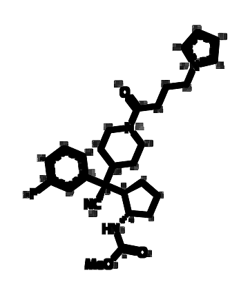 COC(=O)N[C@H]1CCC[C@@H]1[C@](C#N)(c1cccc(F)c1)C1CCN(C(=O)CCCn2cccc2)CC1